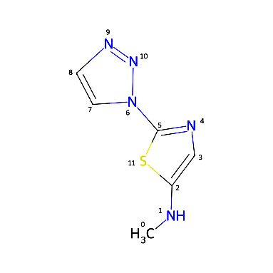 CNc1cnc(-n2ccnn2)s1